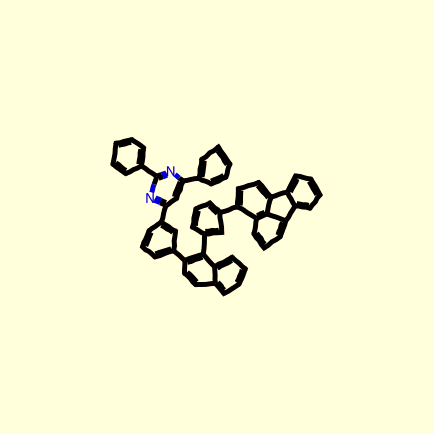 c1ccc(-c2cc(-c3cccc(-c4ccc5ccccc5c4-c4cccc(-c5ccc6c7c(cccc57)-c5ccccc5-6)c4)c3)nc(-c3ccccc3)n2)cc1